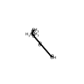 CC(=O)OCCC(C)(C)CC(=O)OCCCCCCCCCCOC(=O)CCCCCCCCCCCCCCCCCCC(=O)O